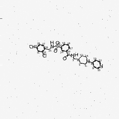 O=C(NCC1CCN(c2ccncc2)CC1)c1cccc(S(=O)(=O)NCc2ccc(Cl)cc2Cl)c1